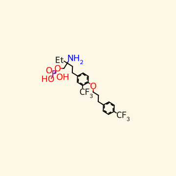 CCC(N)(CCc1ccc(OCCCc2ccc(C(F)(F)F)cc2)c(C(F)(F)F)c1)COP(=O)(O)O